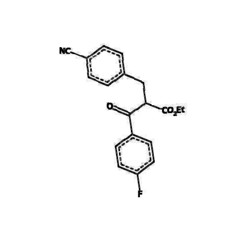 CCOC(=O)C(Cc1ccc(C#N)cc1)C(=O)c1ccc(F)cc1